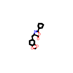 O=C1OC(c2ccccc2)=NC1=Cc1ccc2c(c1)OCO2